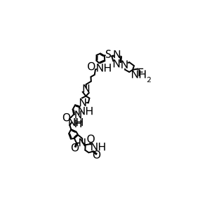 NC1(CF)CCN(c2cnc(Sc3cccc(NC(=O)CCCCN4CC5(CCN(C6=CC=C(C(=O)NCc7ccc8c(c7)CN(C7CCC(=O)NC7=O)C8=O)NN6)C5)C4)c3)cn2)CC1